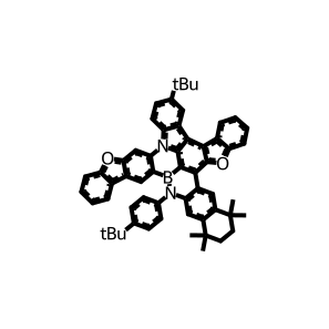 CC(C)(C)c1ccc(N2B3c4cc5c(cc4-n4c6ccc(C(C)(C)C)cc6c6c7c(oc8ccccc87)c(c3c64)-c3cc4c(cc32)C(C)(C)CCC4(C)C)oc2ccccc25)cc1